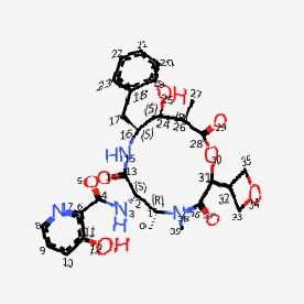 C[C@@H]1[C@H](NC(=O)c2ncccc2O)C(=O)N[C@@H](Cc2ccccc2)[C@@H](O)[C@@H](C)C(=O)OC(C2COC2)C(=O)N1C